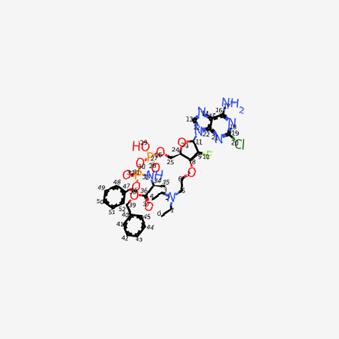 CCN(CC)CCO[C@@H]1C(F)[C@H](n2cnc3c(N)nc(Cl)nc32)O[C@@H]1COP(=O)(O)OP(=O)(N[C@@H](C)C(=O)OCc1ccccc1)Oc1ccccc1